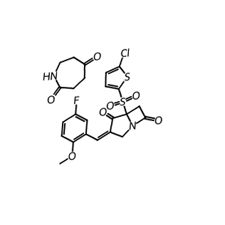 COc1ccc(F)cc1C=C1CN2C(=O)CC2(S(=O)(=O)c2ccc(Cl)s2)C1=O.O=C1CCNC(=O)CC1